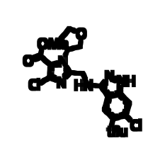 COC(=O)c1c(Cl)nc(CNc2n[nH]c3cc(Cl)c(C(C)(C)C)cc23)n1[C@H]1CCOC1